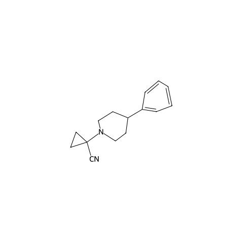 N#CC1(N2CCC(c3ccccc3)CC2)CC1